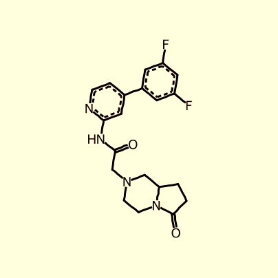 O=C(CN1CCN2C(=O)CCC2C1)Nc1cc(-c2cc(F)cc(F)c2)ccn1